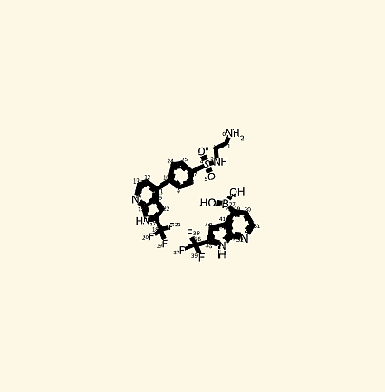 NCCNS(=O)(=O)c1ccc(-c2ccnc3[nH]c(C(F)(F)F)cc23)cc1.OB(O)c1ccnc2[nH]c(C(F)(F)F)cc12